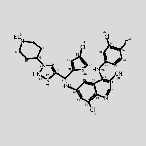 CCN1CCC(N2C=C([C@@H](Nc3cc(Cl)c4ncc(C#N)c(Nc5ccc(F)c(Cl)c5)c4c3)c3cc(Cl)cs3)NN2)CC1